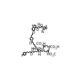 C/N=C/[C@H]1CC(F)(F)CN1C(=O)CNC(=O)c1ccnc2ccc(OCCCC3CCN(C(=O)CCCCCNC(=O)[C@H](CCCNC(=O)CCCc4ccc(I)cc4)NC(=O)CN4CCN(CC(=O)O)CCN(CC(=O)O)CCN(CC(=O)O)CC4)CC3)cc12